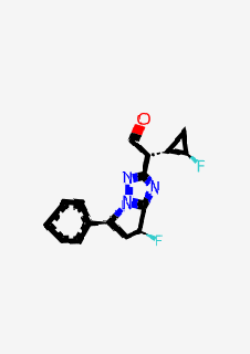 O=CC(c1nc2n(n1)[C@H](c1ccccc1)C[C@@H]2F)[C@@H]1C[C@H]1F